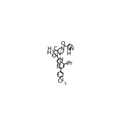 CC(C)c1cc(-c2ccc(C(F)(F)F)cc2)nn2cc(C(=O)N3CCN(C(=O)c4ccn[nH]4)CC3(C)C)nc12